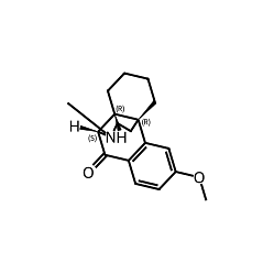 COc1ccc2c(c1)[C@@]13CCCC[C@H]1[C@@H](C2=O)N(C)CC3